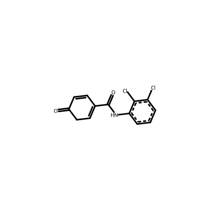 O=C1C=CC(C(=O)Nc2cccc(Cl)c2Cl)=CC1